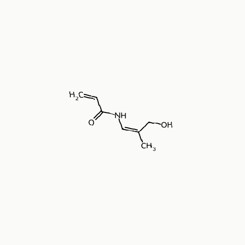 C=CC(=O)NC=C(C)CO